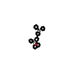 C1=CC(c2ccccc2)(N(c2ccccc2)c2ccccc2)CC=C1c1ccc(N(c2ccccc2)c2ccccc2)cc1